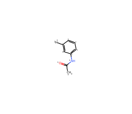 [2H]c1cccc(NC(C)=O)c1